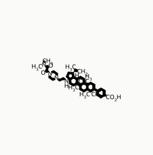 C=C(C)[C@@H]1CC[C@]2(NCCN3CCN(C(=O)C(=O)N(C)C)CC3)CC[C@]3(C)[C@H](CCC4[C@@]5(C)CC=C(c6ccc(C(=O)O)cc6)C(C)(C)C5CC[C@]43C)C12